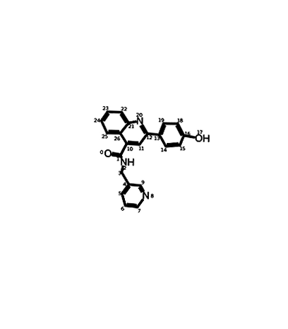 O=C(NCc1cccnc1)c1cc(-c2ccc(O)cc2)nc2ccccc12